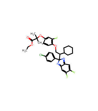 CCOC(=O)C(C)(C)Oc1ccc(OCC(C2CCCCC2)C2(c3ccc(Cl)cc3)N=c3cc(F)c(F)cc3=N2)c(F)c1